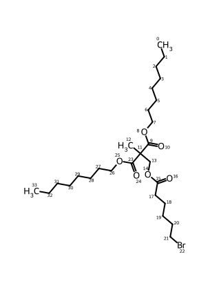 CCCCCCCCOC(=O)C(C)(COC(=O)CCCCCBr)C(=O)OCCCCCCCC